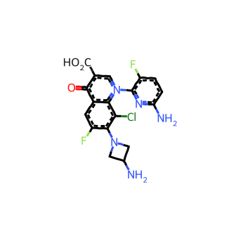 Nc1ccc(F)c(-n2cc(C(=O)O)c(=O)c3cc(F)c(N4CC(N)C4)c(Cl)c32)n1